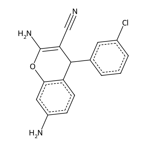 N#CC1=C(N)Oc2cc(N)ccc2C1c1cccc(Cl)c1